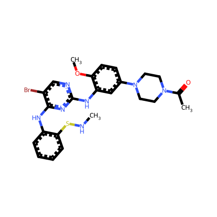 CNSc1ccccc1Nc1nc(Nc2cc(N3CCN(C(C)=O)CC3)ccc2OC)ncc1Br